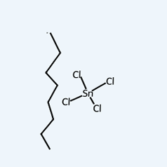 [CH2]CCCCCCC.[Cl][Sn]([Cl])([Cl])[Cl]